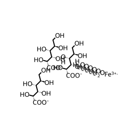 O.O.O.O.O.O.O=C([O-])[C@H](O)[C@@H](O)[C@H](O)[C@H](O)CO.O=C([O-])[C@H](O)[C@@H](O)[C@H](O)[C@H](O)CO.O=C([O-])[C@H](O)[C@@H](O)[C@H](O)[C@H](O)CO.[Fe+3]